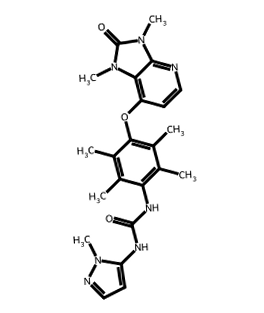 Cc1c(C)c(Oc2ccnc3c2n(C)c(=O)n3C)c(C)c(C)c1NC(=O)Nc1ccnn1C